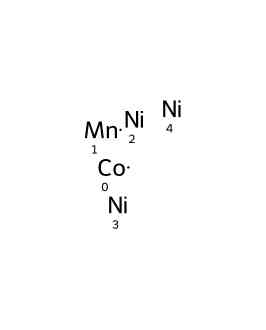 [Co].[Mn].[Ni].[Ni].[Ni]